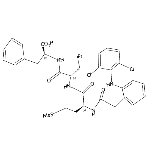 CSCC[C@H](NC(=O)Cc1ccccc1Nc1c(Cl)cccc1Cl)C(=O)N[C@@H](CC(C)C)C(=O)N[C@@H](Cc1ccccc1)C(=O)O